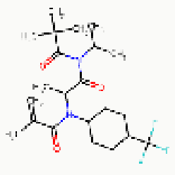 C=C(C)C(=O)N(C1CCC(C(F)(F)F)CC1)C(C)C(=O)N(C(=O)C(C)(C)C)C(C)C